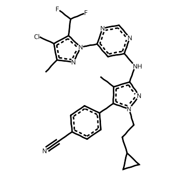 Cc1nn(-c2cc(Nc3nn(CCC4CC4)c(-c4ccc(C#N)cc4)c3C)ncn2)c(C(F)F)c1Cl